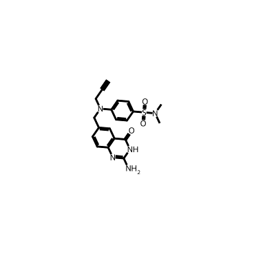 C#CCN(Cc1ccc2nc(N)[nH]c(=O)c2c1)c1ccc(S(=O)(=O)N(C)C)cc1